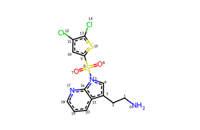 NCCc1cn(S(=O)(=O)c2cc(Cl)c(Cl)s2)c2ncccc12